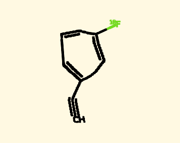 C#Cc1cccc([18F])c1